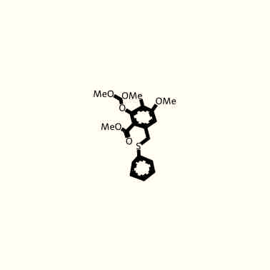 COCOc1c(OC)c(OC)cc(CSc2ccccc2)c1C(=O)OC